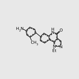 CCn1ncc2c(=O)[nH]c3cc(-c4ccc(N)cc4C)ccc3c21